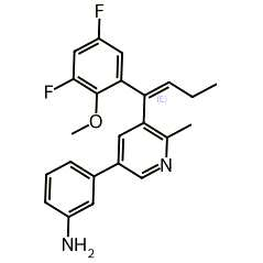 CC/C=C(\c1cc(-c2cccc(N)c2)cnc1C)c1cc(F)cc(F)c1OC